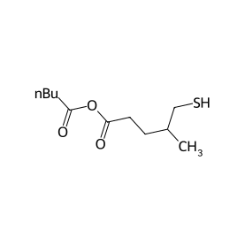 CCCCC(=O)OC(=O)CCC(C)CS